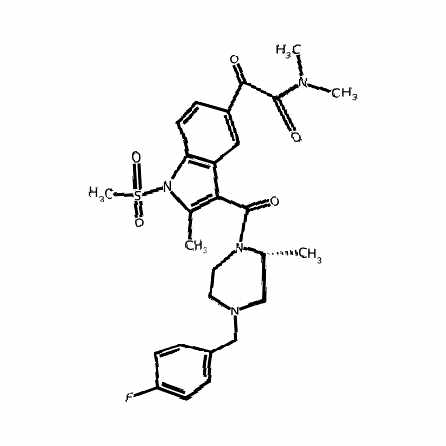 Cc1c(C(=O)N2CCN(Cc3ccc(F)cc3)C[C@H]2C)c2cc(C(=O)C(=O)N(C)C)ccc2n1S(C)(=O)=O